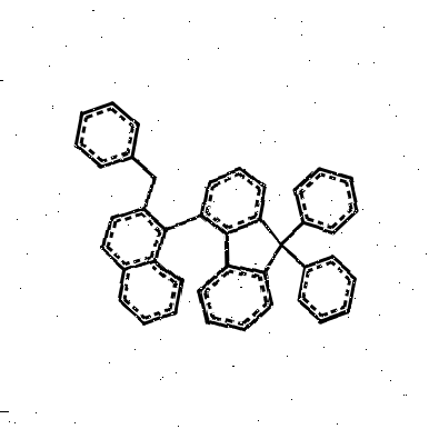 c1ccc(Cc2ccc3ccccc3c2-c2cccc3c2-c2ccccc2C3(c2ccccc2)c2ccccc2)cc1